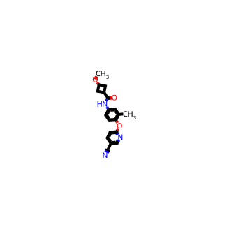 COC1CC(C(=O)Nc2ccc(Oc3ccc(C#N)cn3)c(C)c2)C1